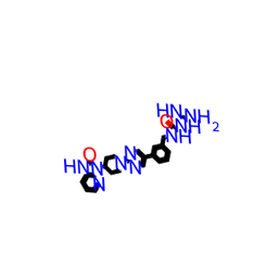 N=C(N)NC(=O)NCc1cccc(-c2cnc(N3CCC(n4c(=O)[nH]c5cccnc54)CC3)nc2)c1